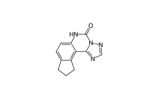 O=c1[nH]c2ccc3c(c2c2ncnn12)CCC3